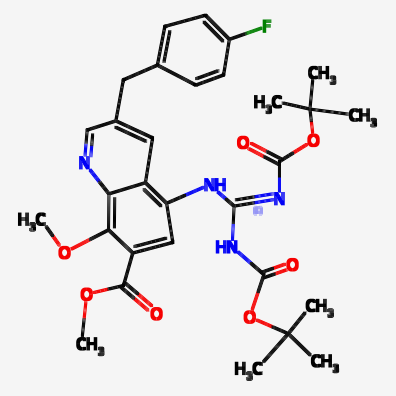 COC(=O)c1cc(N/C(=N\C(=O)OC(C)(C)C)NC(=O)OC(C)(C)C)c2cc(Cc3ccc(F)cc3)cnc2c1OC